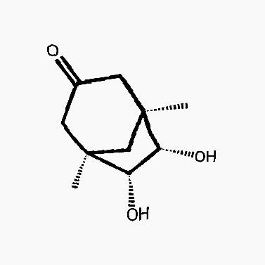 C[C@@]12CC(=O)C[C@@](C)(C1)[C@@H](O)[C@H]2O